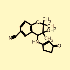 CC1(C)Oc2ccc(C#N)cc2C(NC2=CC(=O)CC2)C1(C)O